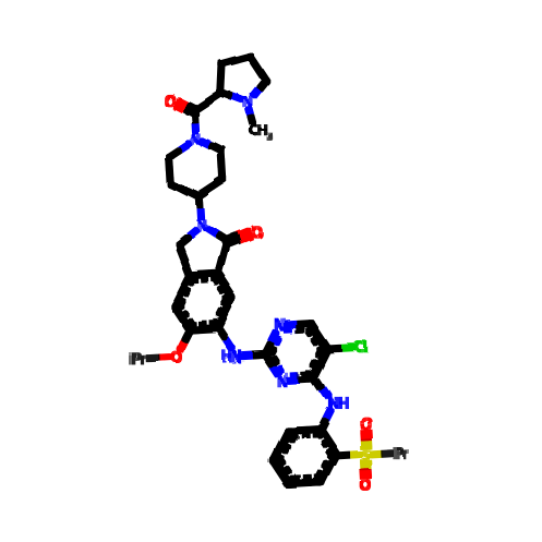 CC(C)Oc1cc2c(cc1Nc1ncc(Cl)c(Nc3ccccc3S(=O)(=O)C(C)C)n1)C(=O)N(C1CCN(C(=O)C3CCCN3C)CC1)C2